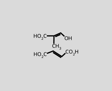 CC(=CO)C(=O)O.O=C(O)C=CC(=O)O